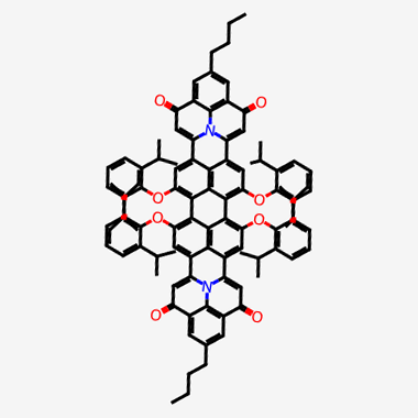 CCCCc1cc2c(=O)cc3c4cc(Oc5c(C(C)C)cccc5C(C)C)c5c6c(Oc7c(C(C)C)cccc7C(C)C)cc7c8c(cc(Oc9c(C(C)C)cccc9C(C)C)c(c9c(Oc%10c(C(C)C)cccc%10C(C)C)cc(c4c59)c4cc(=O)c(c1)c2n34)c68)c1cc(=O)c2cc(CCCC)cc3c(=O)cc7n1c32